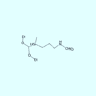 CCOC(OCC)[SiH](C)CCCNC=O